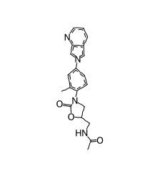 CC(=O)NCC1CN(c2ccc(-n3cc4cccnc4c3)cc2C)C(=O)O1